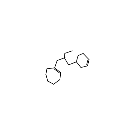 CC[C](CC1=CCCCCC1)CC1CC=CCC1